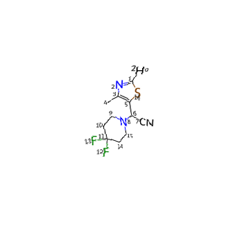 [2H]c1nc(C)c(C(C#N)N2CCC(F)(F)CC2)s1